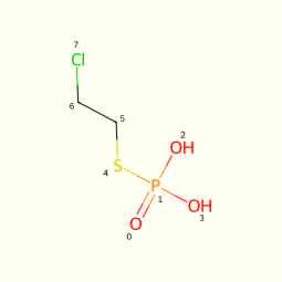 O=P(O)(O)SCCCl